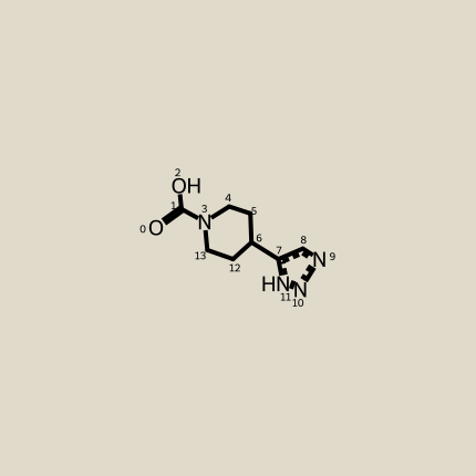 O=C(O)N1CCC(c2cnn[nH]2)CC1